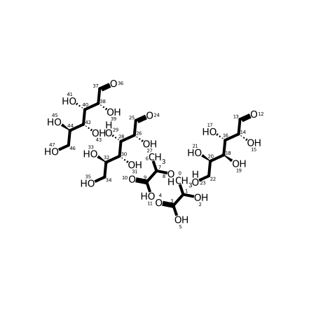 CC(O)C(=O)O.CC(O)C(=O)O.O=C[C@H](O)[C@@H](O)[C@@H](O)[C@H](O)CO.O=C[C@H](O)[C@@H](O)[C@H](O)[C@H](O)CO.O=C[C@H](O)[C@@H](O)[C@H](O)[C@H](O)CO